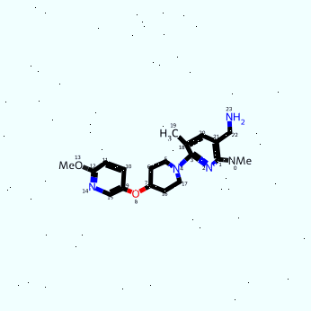 CNc1nc(N2CCC(Oc3ccc(OC)nc3)CC2)c(C)cc1CN